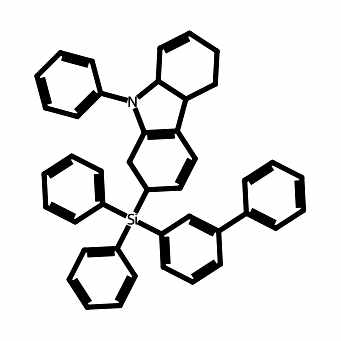 C1=CC2C(CC1)C1=C(CC([Si](c3ccccc3)(c3ccccc3)c3cccc(-c4ccccc4)c3)C=C1)N2c1ccccc1